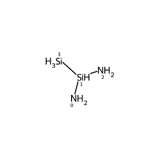 N[SiH](N)[SiH3]